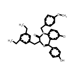 CCc1cc(CC)cc(CC2N=C(c3ccc(O)cc3)c3cc(Cl)ccc3N(Cc3ccc(OC)cc3)C2=O)c1